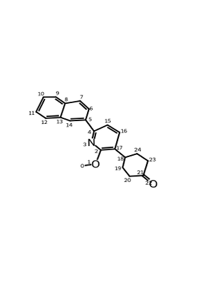 COc1nc(-c2ccc3ccccc3c2)ccc1C1CCC(=O)CC1